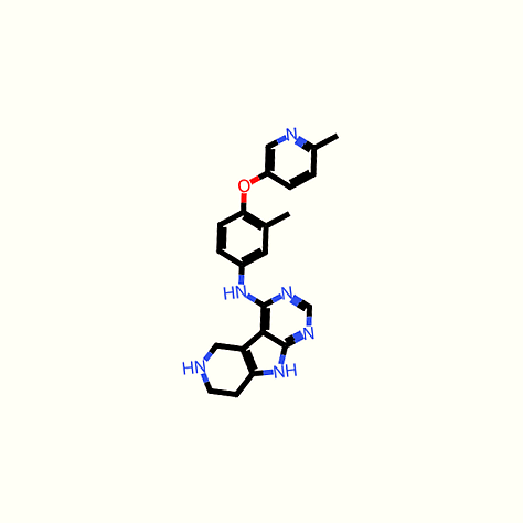 Cc1ccc(Oc2ccc(Nc3ncnc4[nH]c5c(c34)CNCC5)cc2C)cn1